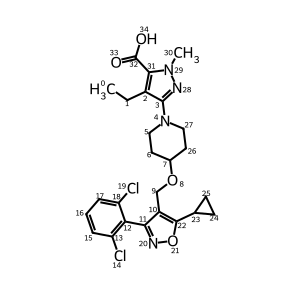 CCc1c(N2CCC(OCc3c(-c4c(Cl)cccc4Cl)noc3C3CC3)CC2)nn(C)c1C(=O)O